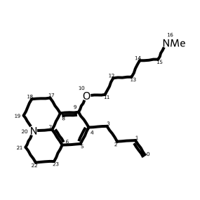 C=CCCc1cc2c3c(c1OCCCCCNC)CCCN3CCC2